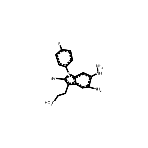 CC(C)c1c(CCC(=O)O)c2cc(N)c(NN)cc2n1-c1ccc(F)cc1